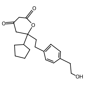 O=C1CC(=O)OC(CCc2ccc(CCO)cc2)(C2CCCC2)C1